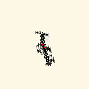 C#C[C@@H]1CC2C3CC[C@H]4C[C@](O)(CC(C)(C)[Si](C)(C)O[Si](C)(C)C(C)(C)C[C@@]5(O)CC[C@@]6(C)C(CCC7C6CC[C@@]6(C)C7C[C@H](C#C)[C@@]6(O)C(C)=O)C5)CC[C@]4(C)C3CC[C@]2(C)[C@@]1(O)C(C)=O